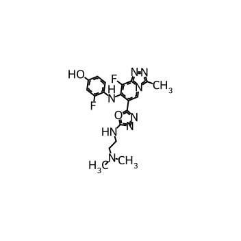 Cc1nnc2c(F)c(Nc3ccc(O)cc3F)c(-c3nnc(NCCN(C)C)o3)cn12